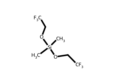 C[Si](C)(OCC(F)(F)F)OCC(F)(F)F